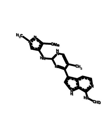 COc1nn(C)cc1NC1N=C(c2c[nH]c3c(NC=O)nccc23)C(C)=CN1